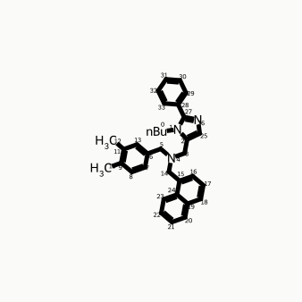 CCCCn1c(CN(Cc2ccc(C)c(C)c2)Cc2cccc3ccccc23)cnc1-c1ccccc1